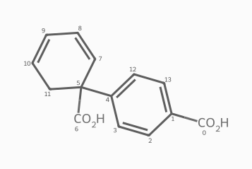 O=C(O)c1ccc(C2(C(=O)O)C=CC=CC2)cc1